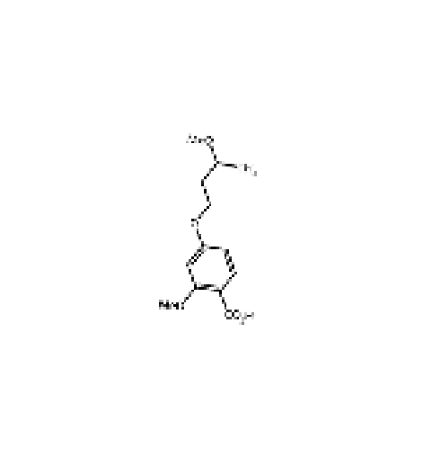 COc1cc(OCCC(C)OC)ccc1C(=O)O